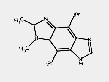 CC(C)C1=c2nc[nH]c2=C(C(C)C)C2C1=NC(C)N2C